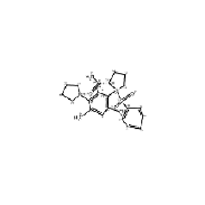 Cc1cc(C)c([N+]2(S(=O)(=O)c3ccccc3)CCC[C@H]2C(N)=O)c(C)c1N1CCCC1